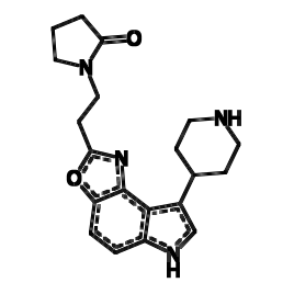 O=C1CCCN1CCc1nc2c(ccc3[nH]cc(C4CCNCC4)c32)o1